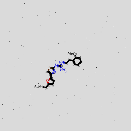 COc1ccccc1CCN/C(N)=N/c1nc(-c2ccc(CNC(C)=O)o2)cs1